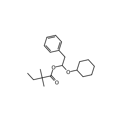 CCC(C)(C)C(=O)OC(Cc1ccccc1)OC1CCCCC1